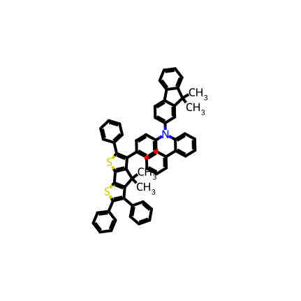 CC1(C)c2ccccc2-c2ccc(N(c3ccc(-c4c(-c5ccccc5)sc5c4C(C)(C)c4c-5sc(-c5ccccc5)c4-c4ccccc4)cc3)c3ccccc3-c3ccccc3)cc21